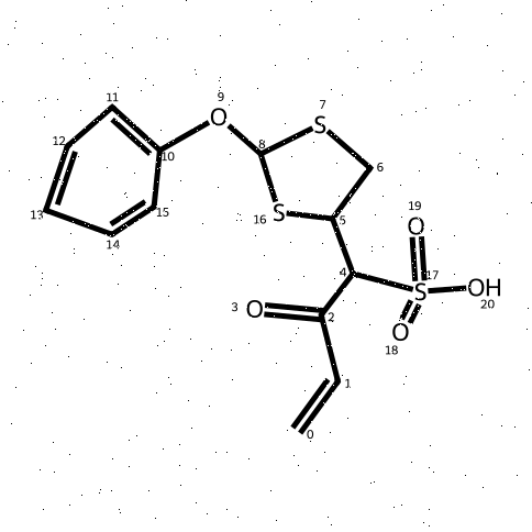 C=CC(=O)C(C1CSC(Oc2ccccc2)S1)S(=O)(=O)O